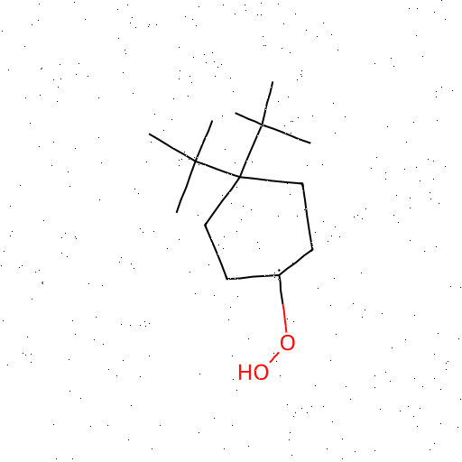 CC(C)(C)C1(C(C)(C)C)CC[C](OO)CC1